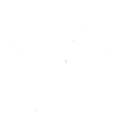 Cc1nccn1CC1CCc2c(c3ccccc3n2C)C1=NOCc1cccnc1